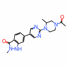 CC(=O)N1CCN(c2ncc(-c3ccc4c(=O)n(C)[nH]c4c3)cn2)C(C)C1